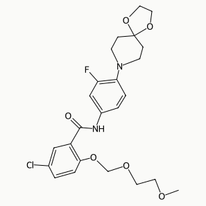 COCCOCOc1ccc(Cl)cc1C(=O)Nc1ccc(N2CCC3(CC2)OCCO3)c(F)c1